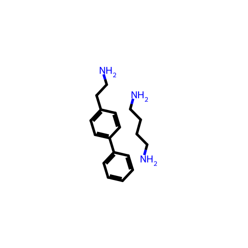 NCCCCN.NCCc1ccc(-c2ccccc2)cc1